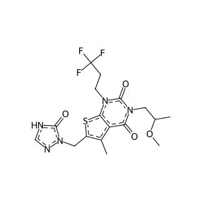 COC(C)Cn1c(=O)c2c(C)c(Cn3nc[nH]c3=O)sc2n(CCC(F)(F)F)c1=O